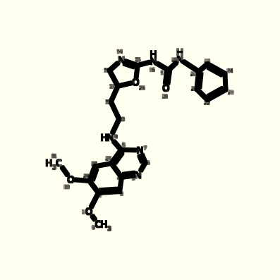 COc1cc2ncnc(NCCC3CN=C(NC(=O)Nc4ccccc4)O3)c2cc1OC